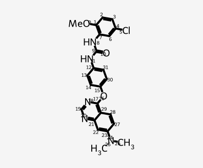 COc1ccc(Cl)cc1NC(=O)Nc1ccc(Oc2ncnc3cc(N(C)C)ccc23)cc1